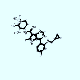 Cc1[nH]c2c(-c3ccc(F)cc3OCC3CC3)ncnc2c1C(=O)N[C@H]1CCN(C(=O)O)C(C(C)(C)C)[C@H]1O